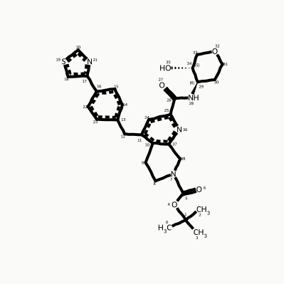 CC(C)(C)OC(=O)N1CCc2c(Cc3ccc(-c4cscn4)cc3)cc(C(=O)N[C@@H]3CCOC[C@H]3O)nc2C1